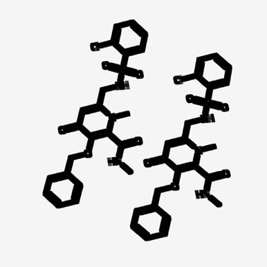 CNC(=O)c1c(OCc2ccccc2)c(=O)cc(CNS(=O)(=O)c2ccccc2Cl)n1C.CNC(=O)c1c(OCc2ccccc2)c(=O)cc(CNS(=O)(=O)c2ccccc2Cl)n1C